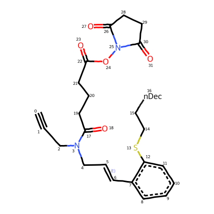 C#CCN(C/C=C/c1ccccc1SCCCCCCCCCCCC)C(=O)CCCC(=O)ON1C(=O)CCC1=O